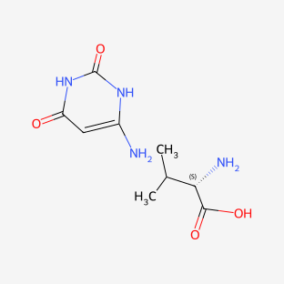 CC(C)[C@H](N)C(=O)O.Nc1cc(=O)[nH]c(=O)[nH]1